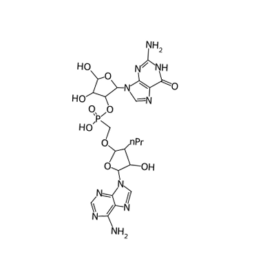 CCCC1C(OCP(=O)(O)OC2C(O)C(O)OC2n2cnc3c(=O)[nH]c(N)nc32)OC(n2cnc3c(N)ncnc32)C1O